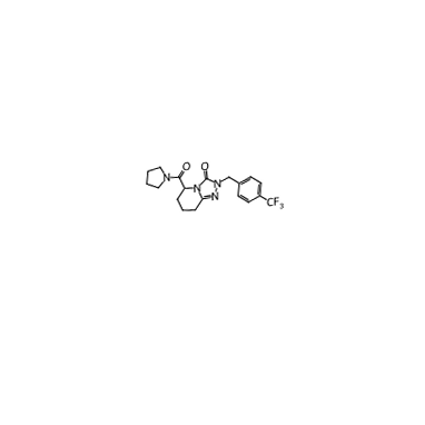 O=C(C1CCCc2nn(Cc3ccc(C(F)(F)F)cc3)c(=O)n21)N1CCCC1